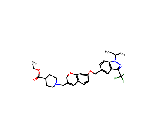 CCOC(=O)C1CCN(CC2=Cc3ccc(OCc4ccc5c(c4)c(C(F)(F)F)nn5C(C)C)cc3OC2)CC1